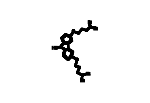 CCN(CC)CCCOc1ccc2c(c1)-c1cc(OCCCN(CC)CC)ccc1C2O